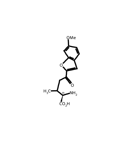 COc1ccc2cc(C(=O)CC(C)[C@@H](N)C(=O)O)oc2c1